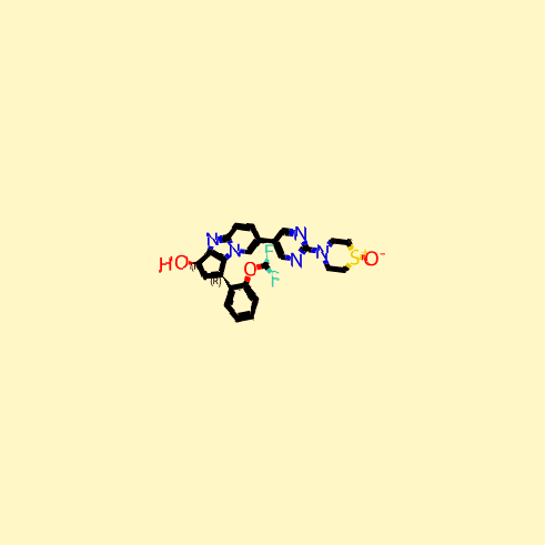 [O-][S+]1CCN(c2ncc(-c3ccc4nc5c(n4c3)[C@@H](c3ccccc3OC(F)F)C[C@H]5O)cn2)CC1